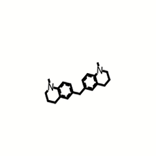 CN1CCCc2cc(Cc3ccc4c(c3)CCCN4C)ccc21